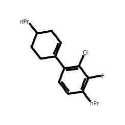 CCCc1ccc(C2=CCC(CCC)CC2)c(Cl)c1F